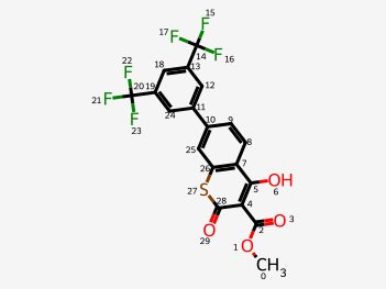 COC(=O)c1c(O)c2ccc(-c3cc(C(F)(F)F)cc(C(F)(F)F)c3)cc2sc1=O